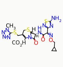 Cn1nnnc1SCC1=C(C(=O)O)N2C(=O)[C@@H](NC(=O)/C(=N\OCC3CC3)c3nsc(N)n3)[C@H]2SC1